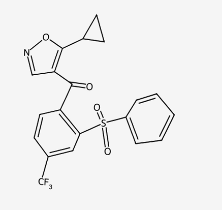 O=C(c1ccc(C(F)(F)F)cc1S(=O)(=O)c1ccccc1)c1cnoc1C1CC1